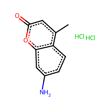 Cc1cc(=O)oc2cc(N)ccc12.Cl.Cl